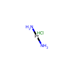 Cl.[NH2][Pt][NH2]